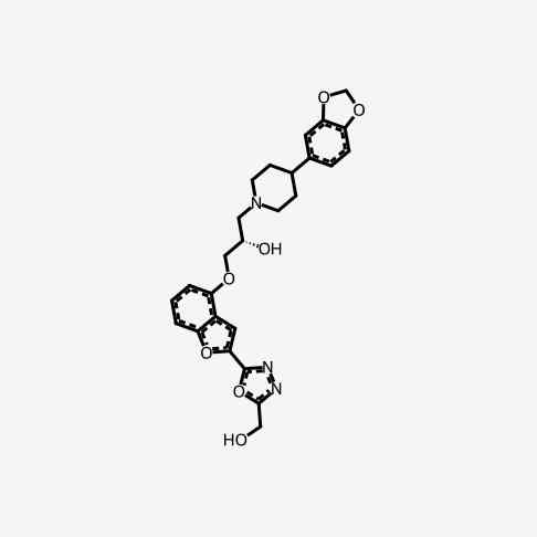 OCc1nnc(-c2cc3c(OC[C@@H](O)CN4CCC(c5ccc6c(c5)OCO6)CC4)cccc3o2)o1